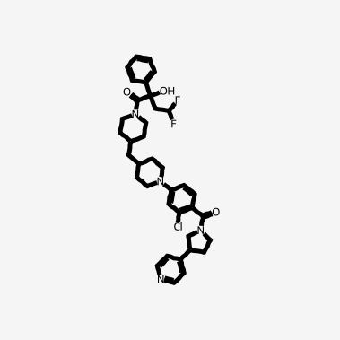 O=C(c1ccc(N2CCC(CC3CCN(C(=O)C(O)(CC(F)F)c4ccccc4)CC3)CC2)cc1Cl)N1CCC(c2ccncc2)C1